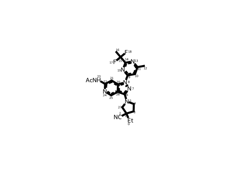 CCC1(C#N)CCN(c2nn(-c3cc(C)nc(C(C)(F)F)n3)c3cc(NC(C)=O)ncc23)C1